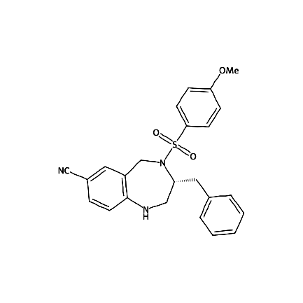 COc1ccc(S(=O)(=O)N2Cc3cc(C#N)ccc3NC[C@H]2Cc2ccccc2)cc1